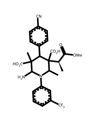 COC(=O)[C@@H](C)C1(C(=O)O)C(C)N(c2cccc(C(F)(F)F)c2)C(N)C(C)(C(=O)O)C1c1ccc(C#N)cc1